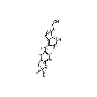 OCCN1N=CC2=C(Nc3ccc(OC(F)(F)F)cc3)N=CNC21